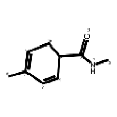 CNC(=O)C1C=CC(C)=CC1